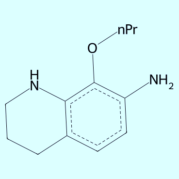 CCCOc1c(N)ccc2c1NCCC2